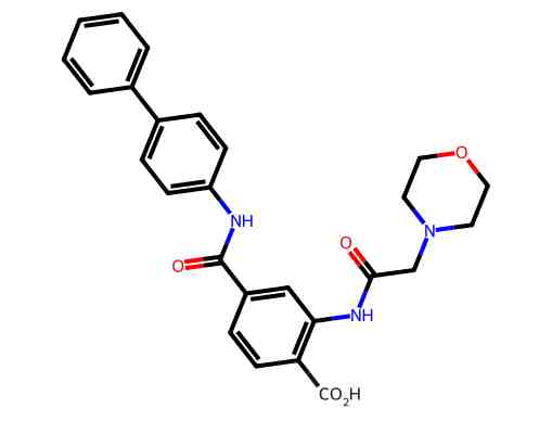 O=C(CN1CCOCC1)Nc1cc(C(=O)Nc2ccc(-c3ccccc3)cc2)ccc1C(=O)O